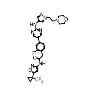 O=C(Cc1ccc(-c2cnc(Nc3cnn(CCN4CCOCC4)c3)nc2)cc1F)Nc1cc(C2(C(F)(F)F)CC2)on1